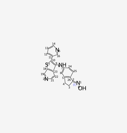 O/N=C1\CCc2cc(Nc3c(-c4cccnc4)sc4cnccc34)ccc21